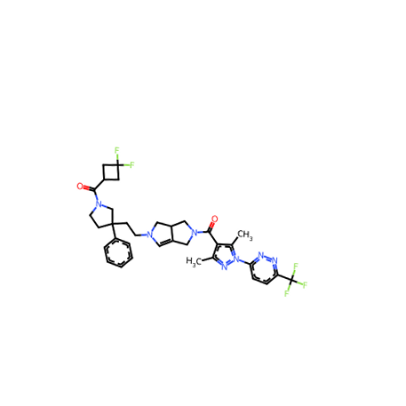 Cc1nn(-c2ccc(C(F)(F)F)nn2)c(C)c1C(=O)N1CC2=CN(CCC3(c4ccccc4)CCN(C(=O)C4CC(F)(F)C4)C3)CC2C1